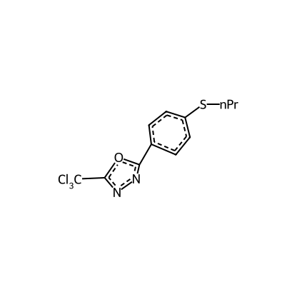 CCCSc1ccc(-c2nnc(C(Cl)(Cl)Cl)o2)cc1